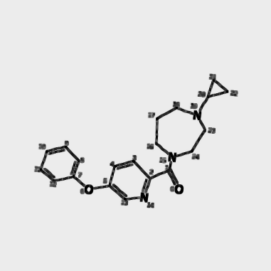 O=C(c1ccc(Oc2ccccc2)cn1)N1CCCN(C2CC2)CC1